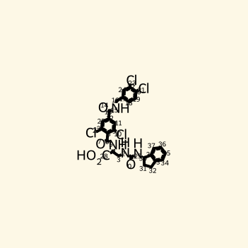 O=C(NCC(NC(=O)c1c(Cl)cc(C(=O)NCc2ccc(Cl)c(Cl)c2)cc1Cl)C(=O)O)N[C@@H]1CCc2ccccc21